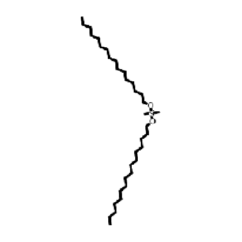 CCCCCCCCCCCCCCCCO[Si](C)(C)OCCCCCCCCCCCCCCCC